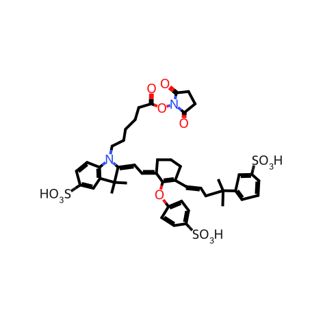 CC(C)(C/C=C/C1=C(Oc2ccc(S(=O)(=O)O)cc2)C(=C/C=C2/N(CCCCCC(=O)ON3C(=O)CCC3=O)c3ccc(S(=O)(=O)O)cc3C2(C)C)/CCC1)c1cccc(S(=O)(=O)O)c1